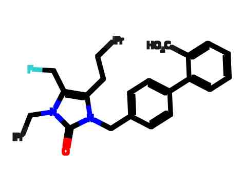 CC(C)CCc1c(CF)n(CC(C)C)c(=O)n1Cc1ccc(-c2ccccc2C(=O)O)cc1